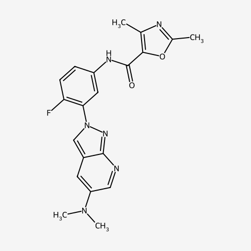 Cc1nc(C)c(C(=O)Nc2ccc(F)c(-n3cc4cc(N(C)C)cnc4n3)c2)o1